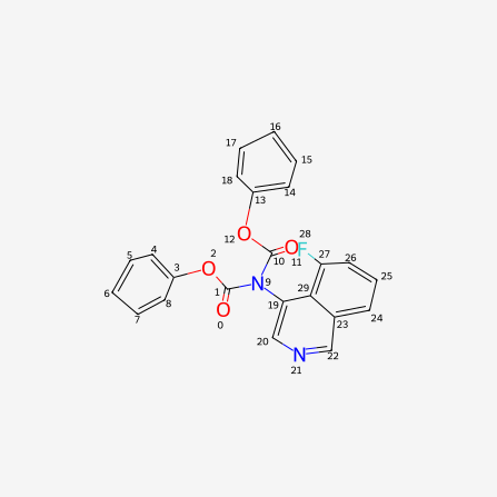 O=C(Oc1ccccc1)N(C(=O)Oc1ccccc1)c1cncc2cccc(F)c12